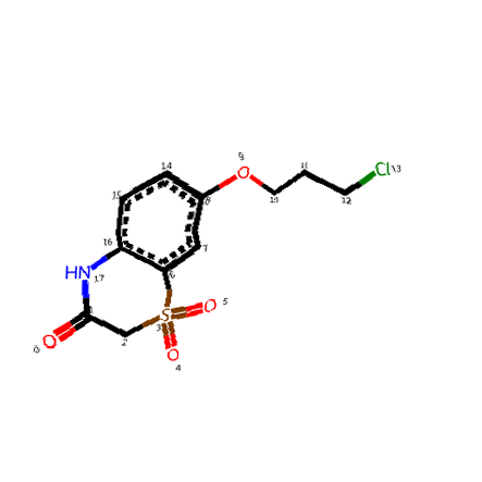 O=C1CS(=O)(=O)c2cc(OCCCCl)ccc2N1